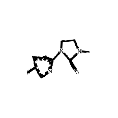 Cc1ccc(N2CCN(C)C2=O)nc1